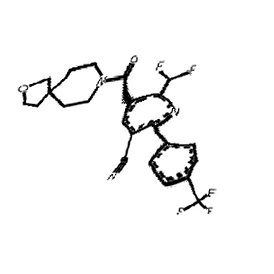 N#Cc1cc(C(=O)N2CCC3(CCOC3)CC2)c(C(F)F)nc1-c1ccc(C(F)(F)F)cc1